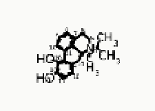 CC(C)[N+]1(C)CCc2cccc3c2C1Cc1ccc(O)c(O)c1-3